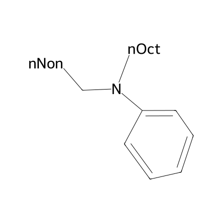 CCCCCCCCCCN(CCCCCCCC)c1ccccc1